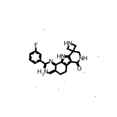 C=C(/N=C1\C(=C/N)CCc2c1[nH]c1c2C(=O)NCC12CNC2)c1cccc(F)c1